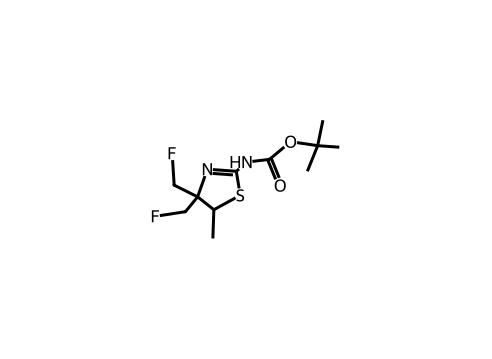 CC1SC(NC(=O)OC(C)(C)C)=NC1(CF)CF